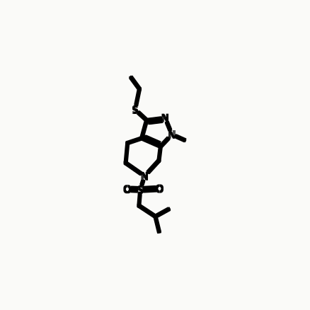 CCSc1nn(C)c2c1CCN(S(=O)(=O)CC(C)C)C2